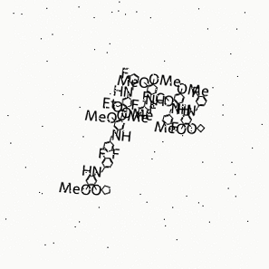 CCOc1cc(NCc2cccc(F)c2)ccc1OC.COc1ccc(NCc2c(F)cccc2F)cc1OC.COc1ccc(NCc2cccc(F)c2)c(OCC(F)(F)F)c1.COc1ccc(NCc2cccc(F)c2)cc1OC.COc1ccc(NCc2cccc(F)c2)cc1OC1CCC1.COc1ccc(NCc2cccc(F)c2)cc1OC1CCCC1